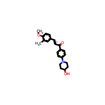 COc1ccc(/C=C/C(=O)c2ccc(N3CCC(O)CC3)cc2)cc1C